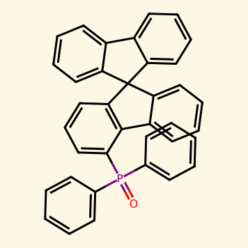 O=P(c1ccccc1)(c1ccccc1)c1cccc2c1-c1ccccc1C21c2ccccc2-c2ccccc21